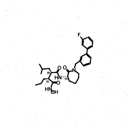 CCC[C@H](C(=O)NO)[C@@H](CC(C)C)C(=O)N[C@H]1CCCCN(Cc2cccc(-c3cccc(F)c3)c2)C1=O